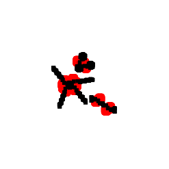 CC(C)COC(=O)CCCCC(=O)OCC(C)C.CCCCCCCCOC(=O)c1cc(C(=O)OCCCCCCCC)c(C(=O)OCCCCCCCC)cc1C(=O)OCCCCCCCC.O=C(Oc1ccccc1)c1ccccc1C(=O)Oc1ccccc1